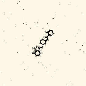 Cc1cccnc1-c1cc2n(n1)CCN(Cc1n[nH]c3c(C)cccc13)C2